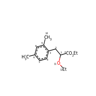 CCOC(=O)C(Cc1ccc(C)cc1C)OCC